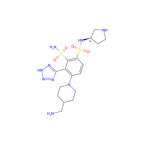 NCC1CCN(c2ccc(S(=O)(=O)N[C@@H]3CCNC3)c(S(N)(=O)=O)c2-c2nn[nH]n2)CC1